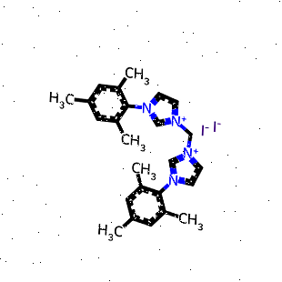 Cc1cc(C)c(-n2cc[n+](C[n+]3ccn(-c4c(C)cc(C)cc4C)c3)c2)c(C)c1.[I-].[I-]